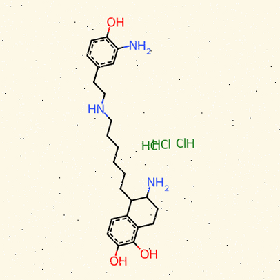 Cl.Cl.Cl.Nc1cc(CCNCCCCCCC2c3ccc(O)c(O)c3CCC2N)ccc1O